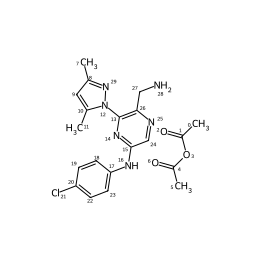 CC(=O)OC(C)=O.Cc1cc(C)n(-c2nc(Nc3ccc(Cl)cc3)cnc2CN)n1